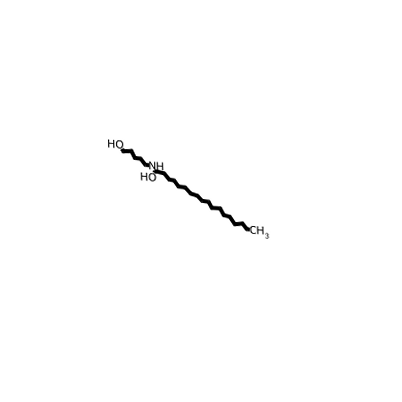 CCCCCCCCCCCCCCCCCC(O)NCCCCCO